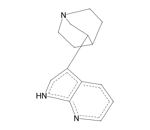 c1cnc2[nH]cc(C3CN4CCC3CC4)c2c1